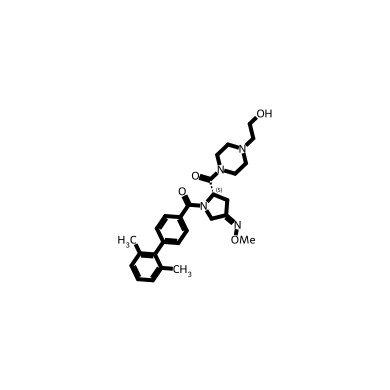 CON=C1C[C@@H](C(=O)N2CCN(CCO)CC2)N(C(=O)c2ccc(-c3c(C)cccc3C)cc2)C1